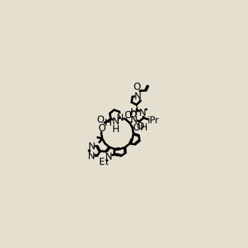 C=CC(=O)N1CC[C@H](C(=O)N(C)C(C(=O)N[C@@H]2C(=O)N3CCC[C@H](N3)C(=O)OCC(C)(C)Cc3c(-c4cncnc4)n(CC)c4ccc(cc34)-c3cccc(c3)[C@H]2O)C(C)C)C1